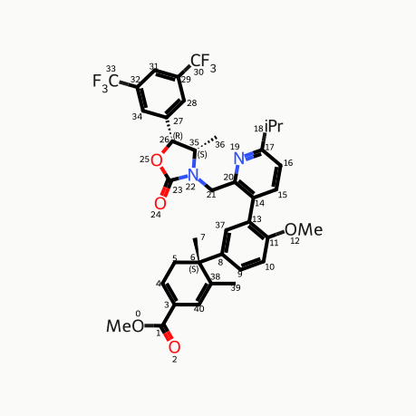 COC(=O)C1=CC[C@](C)(c2ccc(OC)c(-c3ccc(C(C)C)nc3CN3C(=O)O[C@H](c4cc(C(F)(F)F)cc(C(F)(F)F)c4)[C@@H]3C)c2)C(C)=C1